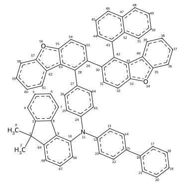 CC1(C)c2ccccc2-c2c(N(c3ccc(-c4ccccc4)cc3)c3ccc(-c4c(-c5ccc6oc7ccccc7c6c5-c5cccc6ccccc56)ccc5oc6ccccc6c45)cc3)cccc21